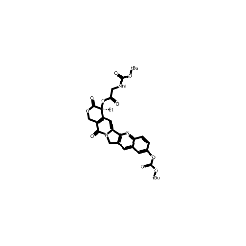 CC[C@@]1(OC(=O)CNC(=O)OC(C)(C)C)C(=O)OCc2c1cc1n(c2=O)Cc2cc3cc(OC(=O)OC(C)(C)C)ccc3nc2-1